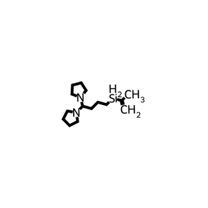 C=C(C)[SiH2]CCCC(N1CCCC1)N1CCCC1